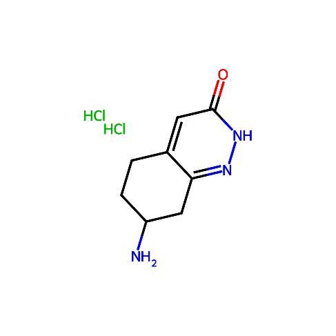 Cl.Cl.NC1CCc2cc(=O)[nH]nc2C1